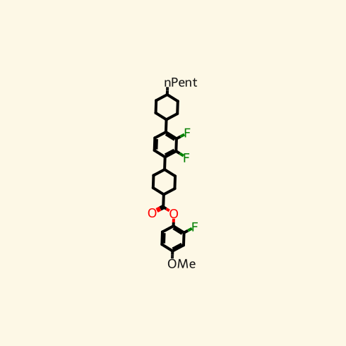 CCCCCC1CCC(c2ccc(C3CCC(C(=O)Oc4ccc(OC)cc4F)CC3)c(F)c2F)CC1